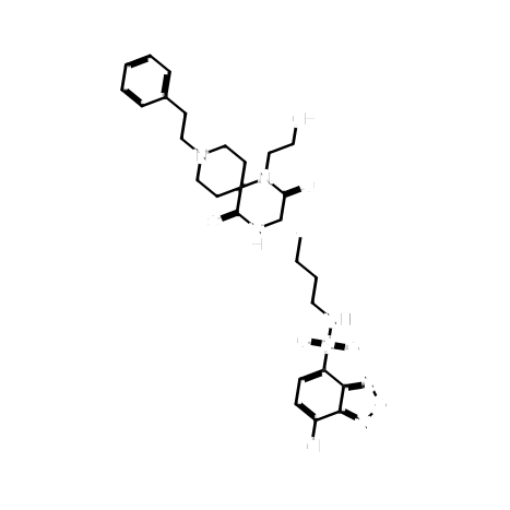 CCCN1C(=O)[C@H](CCCCNS(=O)(=O)c2ccc(Cl)c3nonc23)NC(=O)C12CCN(CCc1ccccc1)CC2